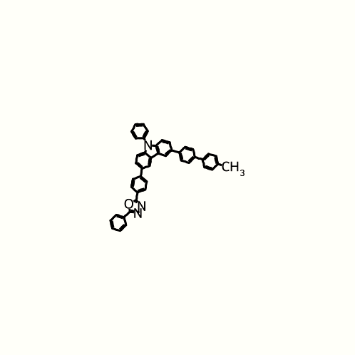 Cc1ccc(-c2ccc(-c3ccc4c(c3)c3cc(-c5ccc(-c6nnc(-c7ccccc7)o6)cc5)ccc3n4-c3ccccc3)cc2)cc1